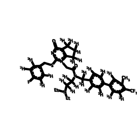 [2H]c1c([2H])c(CSc2nc(=O)c3c(n2CC(=O)N(C([2H])([2H])c2c([2H])c([2H])c(-c4c([2H])c([2H])c(C(F)(F)F)c(C)c4[2H])c([2H])c2[2H])C([2H])([2H])C([2H])([2H])N(CC)CC)C([2H])([2H])C([2H])([2H])C3([2H])[2H])c([2H])c([2H])c1F